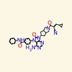 N#CC(=CC1CC1)C(=O)N1CC2CC(n3c(=O)n(-c4ccc(C(=O)Nc5ccccc5)cc4)c4c(N)ncnc43)CC2C1